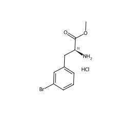 COC(=O)[C@@H](N)Cc1cccc(Br)c1.Cl